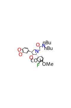 CCCCN(CCCC)C(=O)CN1C[C@H](c2ccc3c(c2)OCO3)[C@H](OC(=O)O)[C@H]1c1ccc(OC)c(F)c1